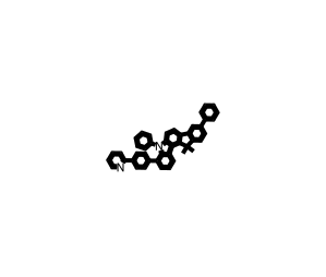 CC1(C)c2ccc(-c3ccccc3)cc2-c2ccc3c(c21)c1cccc(-c2ccc(-c4ccccn4)cc2)c1n3-c1ccccc1